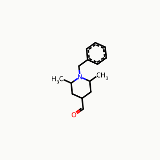 CC1CC(C=O)CC(C)N1Cc1ccccc1